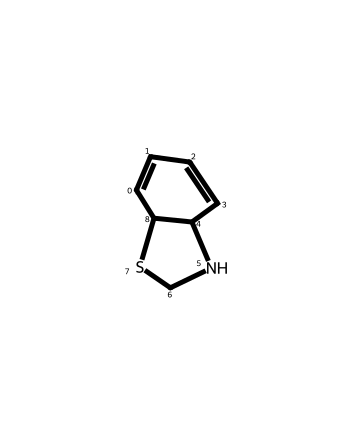 [C]1=CC=CC2NCSC12